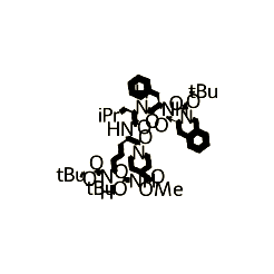 COC(=O)C1(NC(=O)OC(C)(C)C)CCN(C(=O)[C@@H](CCCCNC(=O)OC(C)(C)C)NC(=O)[C@@H](CC(C)C)NC(=O)[C@@H](Cc2ccccc2)NC(=O)[C@H]2Cc3ccccc3CN2C(=O)OC(C)(C)C)CC1